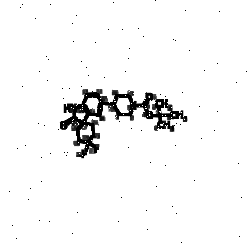 CC(C)(C)OC(=O)N1CCC(c2ccc3c(c2)C2(CCC(F)(F)CC2)C(=O)N3)CC1